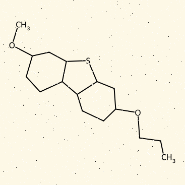 CCCOC1CCC2C(C1)SC1CC(OC)CCC12